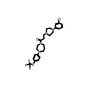 O=C(CCN1CCN(c2cccc(Cl)c2)CC1)N1CCCN(c2ccc(SC(F)(F)F)cc2)CC1